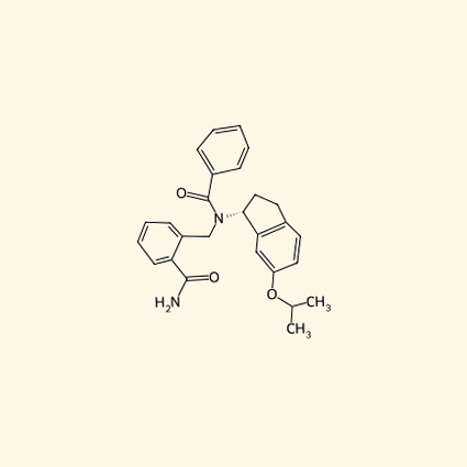 CC(C)Oc1ccc2c(c1)[C@H](N(Cc1ccccc1C(N)=O)C(=O)c1ccccc1)CC2